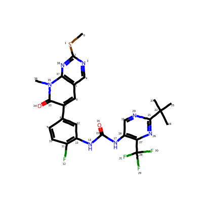 CSc1ncc2cc(-c3ccc(F)c(NC(=O)Nc4cnc(C(C)(C)C)nc4C(F)(F)F)c3)c(=O)n(C)c2n1